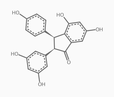 O=C1c2cc(O)cc(O)c2[C@H](c2ccc(O)cc2)[C@@H]1c1cc(O)cc(O)c1